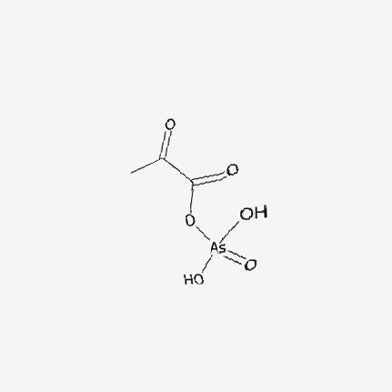 CC(=O)C(=O)O[As](=O)(O)O